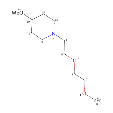 CCCOCCOCCN1CCC(OC)CC1